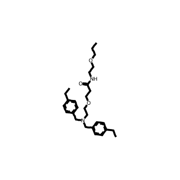 CCCOCCNC(=O)CCOCCN(Cc1ccc(CC)cc1)Cc1ccc(CC)cc1